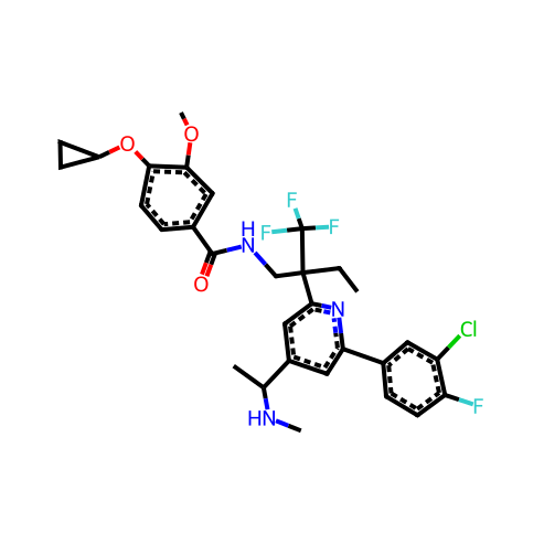 CCC(CNC(=O)c1ccc(OC2CC2)c(OC)c1)(c1cc(C(C)NC)cc(-c2ccc(F)c(Cl)c2)n1)C(F)(F)F